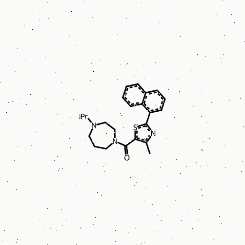 Cc1nc(-c2cccc3ccccc23)sc1C(=O)N1CCCN(C(C)C)CC1